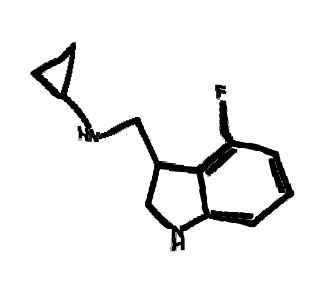 Fc1cccc2c1C(CNC1CC1)CN2